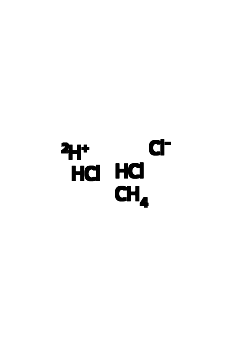 C.Cl.Cl.[2H+].[Cl-]